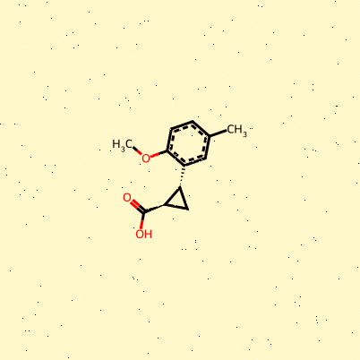 COc1ccc(C)cc1[C@@H]1C[C@H]1C(=O)O